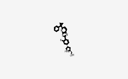 OC[C@@H]1C[C@@H](c2ccc(-c3nc4ccc(C5(c6ccccc6)CC5)nc4s3)c(F)c2)CN1